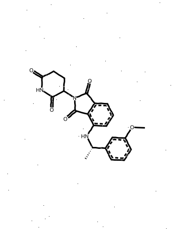 COc1cccc([C@H](C)Nc2cccc3c2C(=O)N(C2CCC(=O)NC2=O)C3=O)c1